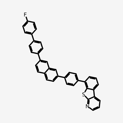 Fc1ccc(-c2ccc(-c3ccc4ccc(-c5ccc(-c6cccc7c6sc6ncccc67)cc5)cc4c3)cc2)cc1